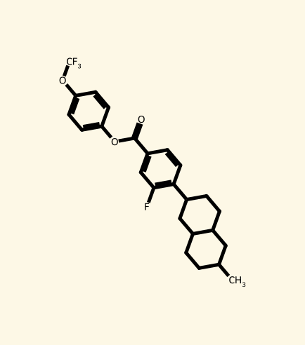 CC1CCC2CC(c3ccc(C(=O)Oc4ccc(OC(F)(F)F)cc4)cc3F)CCC2C1